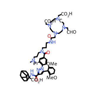 COC1=CCCC(OC)=C1c1cc(C(=O)NC2(C(=O)O)C3CC4CC(C3)CC2C4)nn1-c1ccc(C(=O)N(CCCNC(=O)CN2CCN(CC=O)CCN(CC(=O)O)CCN(CC(=O)O)CC2)CCCN(C)C)cc1C(C)C